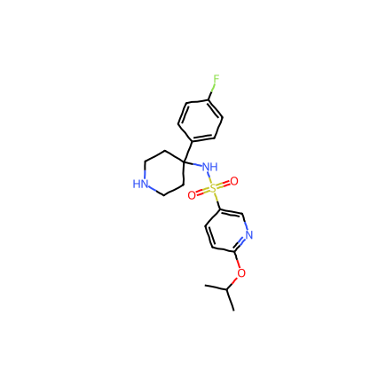 CC(C)Oc1ccc(S(=O)(=O)NC2(c3ccc(F)cc3)CCNCC2)cn1